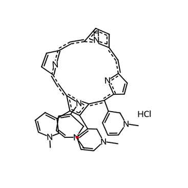 CN1C=CC=C(c2c(C3=CC=CN(C)C3)c3c(C4=CC=CN(C)C4)c4nc(cc5ccc(cc6nc(cc2n3C2=CC=CN(C)C2)C=C6)[nH]5)C=C4)C1.Cl